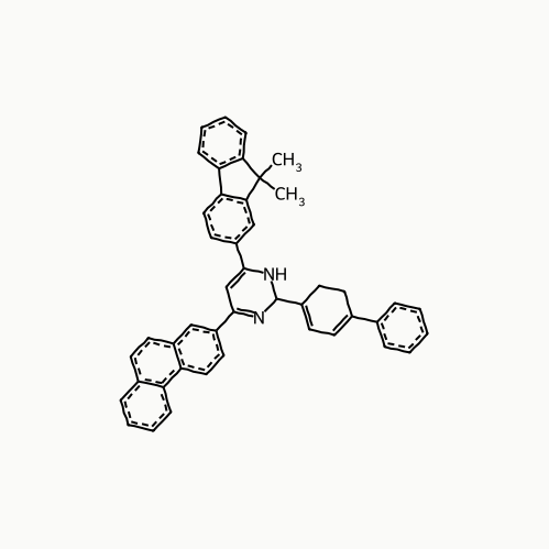 CC1(C)c2ccccc2-c2ccc(C3=CC(c4ccc5c(ccc6ccccc65)c4)=NC(C4=CC=C(c5ccccc5)CC4)N3)cc21